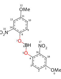 COc1ccc(OBOc2ccc(OC)cc2[N+](=O)[O-])c([N+](=O)[O-])c1